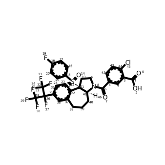 O=C(O)c1cc(C(=O)N2CC[C@]3(S(=O)(=O)c4ccc(F)cc4)c4ccc(C(F)(C(F)(F)F)C(F)(F)F)cc4CCC[C@H]23)ccc1Cl